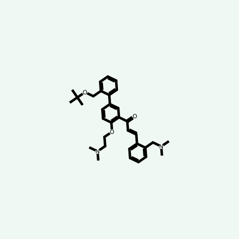 CN(C)CCOc1ccc(-c2ccccc2COC(C)(C)C)cc1C(=O)C=Cc1ccccc1CN(C)C